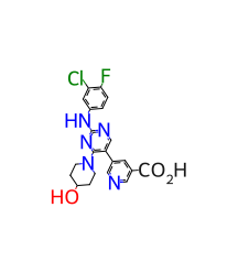 O=C(O)c1cncc(-c2cnc(Nc3ccc(F)c(Cl)c3)nc2N2CCC(O)CC2)c1